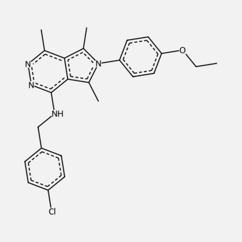 CCOc1ccc(-n2c(C)c3c(C)nnc(NCc4ccc(Cl)cc4)c3c2C)cc1